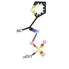 CCCCCCCCS(=O)(=O)ON=C(C#N)c1cccs1